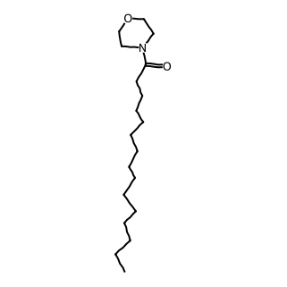 CCCCCCCCCCCCCCC(=O)N1CCOCC1